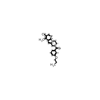 CCCOc1cccc(C(=O)N2CCn3c(cc4c(C)c(Cl)cnc43)C2)c1